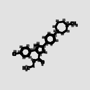 CCOC(=O)c1nc(-c2ccc(N3CCCN(C)CC3)cc2)[nH]c1-c1ccc(Cl)cc1